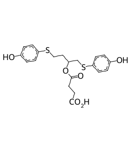 O=C(O)CCC(=O)OC(CCSc1ccc(O)cc1)CSc1ccc(O)cc1